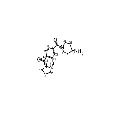 NC1CCN(C(=O)c2ccc3c(c2)OC2CCCN2C3=O)CC1